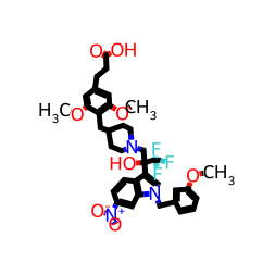 COc1cccc(Cn2cc(C(O)(CN3CCC(Cc4c(OC)cc(CCC(=O)O)cc4OC)CC3)C(F)(F)F)c3ccc([N+](=O)[O-])cc32)c1